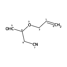 C=CCOC(C=O)CC#N